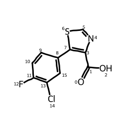 O=C(O)c1ncsc1-c1ccc(F)c(Cl)c1